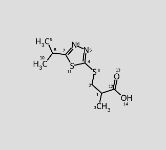 CC(CSc1nnc(C(C)C)s1)C(=O)O